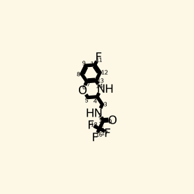 O=C(NCC1COc2ccc(F)cc2N1)C(F)(F)F